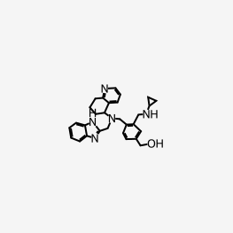 OCc1ccc(CN(Cc2nc3ccccc3[nH]2)C2CCCc3ncccc32)c(CNC2CC2)c1